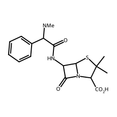 CNC(C(=O)NC1C(=O)N2C1SC(C)(C)C2C(=O)O)c1ccccc1